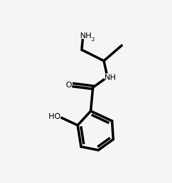 CC(CN)NC(=O)c1ccccc1O